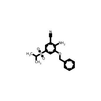 CC(C)S(=O)(=O)c1cc(C#N)c(N)c(OCc2ccccc2)c1